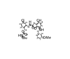 COc1cccc(CNn2ccc(C)c(CC(=O)NCc3cc(Cl)ccc3COC(=O)NC(C)(C)C)c2=O)c1